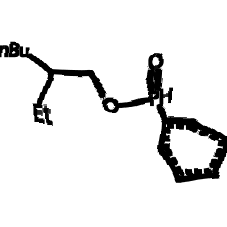 CCCCC(CC)CO[PH](=O)c1ccccc1